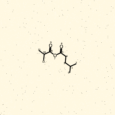 CC(C)CCC(=O)OC(=O)C(C)C